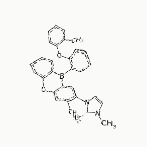 Cc1ccccc1Oc1ccccc1B1c2ccccc2Oc2cc(C)c(N3C=CN(C)[C@@H]3C)cc21